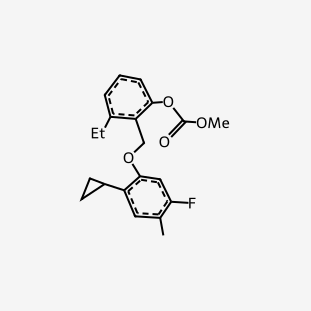 CCc1cccc(OC(=O)OC)c1COc1cc(F)c(C)cc1C1CC1